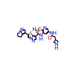 Cc1ncc(NC(=O)CC2CNC2)cc1NC(=O)c1cnn2cc(-c3cnn4c3CCC4)sc12